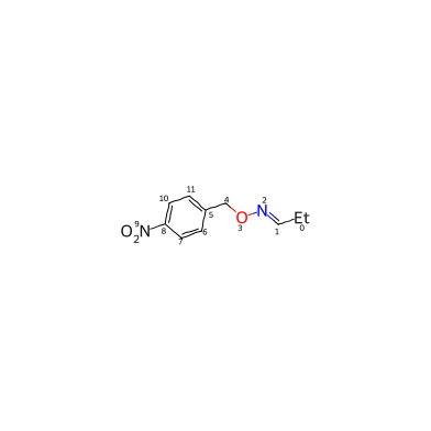 CCC=NOCc1ccc([N+](=O)[O-])cc1